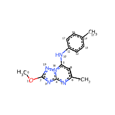 COc1nc2nc(C)cc(Nc3ccc(C)cc3)n2n1